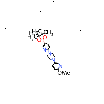 COc1ccc(N2CCN(c3ccc(B4OC(C)(C)C(C)(C)O4)cn3)CC2)cn1